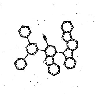 N#Cc1cc(-n2c3ccccc3c3ccc4c5ccccc5oc4c32)c2c(oc3ccccc32)c1-c1nc(-c2ccccc2)nc(-c2ccccc2)n1